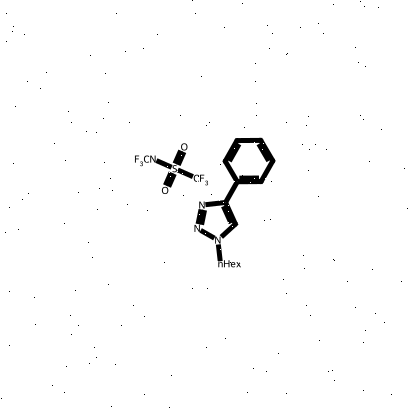 CCCCCCn1cc(-c2ccccc2)nn1.O=S(=O)(NC(F)(F)F)C(F)(F)F